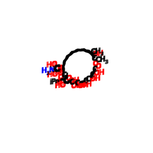 CC(C)OC(=O)C1[C@@H]2CC(O[C@@H]3OC[C@@H](O)[C@H](N)[C@H]3O)/C=C/C=C/C=C/C=C/C=C/C=C/C=C/[C@H](C)[C@@H](O)C[C@H](C)OC(=O)CC(O)CC(O)CCC(O)C(O)CC(O)CC(O)(C[C@@H]1O)O2